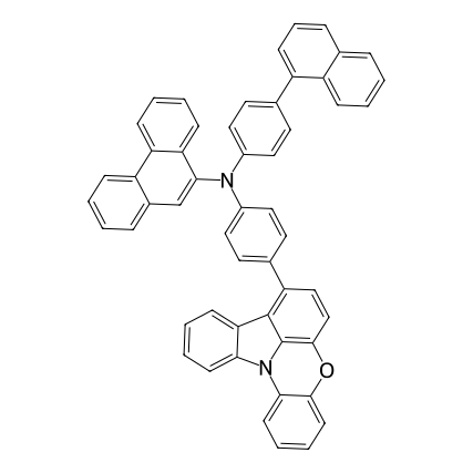 c1ccc2c(c1)Oc1ccc(-c3ccc(N(c4ccc(-c5cccc6ccccc56)cc4)c4cc5ccccc5c5ccccc45)cc3)c3c4ccccc4n-2c13